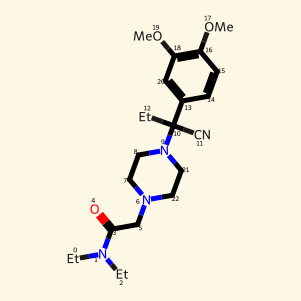 CCN(CC)C(=O)CN1CCN(C(C#N)(CC)c2ccc(OC)c(OC)c2)CC1